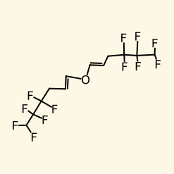 FC(F)C(F)(F)C(F)(F)CC=COC=CCC(F)(F)C(F)(F)C(F)F